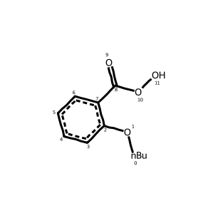 CCCCOc1ccccc1C(=O)OO